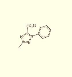 CCOC(=O)c1nc(C)nn1-c1ccccc1